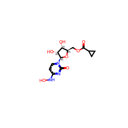 O=C(OC[C@H]1O[C@@H](n2ccc(NO)nc2=O)[C@H](O)[C@@H]1O)C1CC1